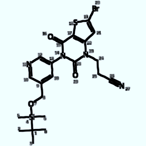 CC(C)(C)[Si](C)(C)OCc1cncc(-n2c(=O)c3sc(Br)cc3n(CCC#N)c2=O)c1